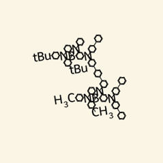 Cc1ccc(N2c3ccc(C)cc3B3c4ccc(N(c5ccc(-c6ccccc6)cc5)c5ccc(-c6ccccc6)cc5)cc4N(c4cccc(-c5ccc(-c6ccc(N(c7ccc(-c8ccccc8)cc7)c7ccc8c(c7)N(c7ccccc7)c7cccc9c7B8c7cc(C(C)(C)C)ccc7N9c7ccc(C(C)(C)C)cc7)cc6)cc5)c4)c4cccc2c43)cc1